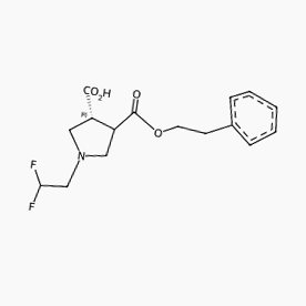 O=C(OCCc1ccccc1)C1CN(CC(F)F)C[C@@H]1C(=O)O